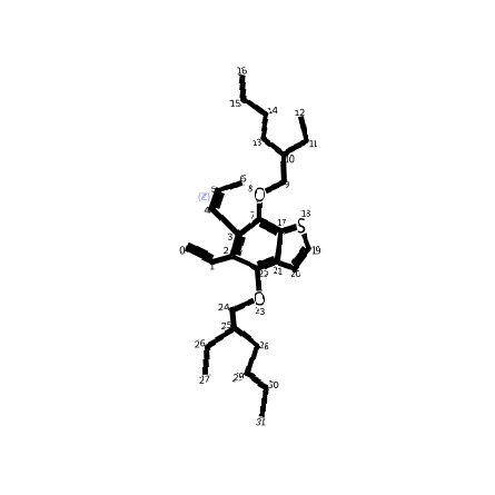 C=Cc1c(/C=C\C)c(OCC(CC)CCCC)c2sccc2c1OCC(CC)CCCC